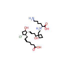 CCC1([C@@H](O)C/C=C/[C@@H]2[C@@H](C/C=C\CCCC(=O)O)[C@H](Cl)C[C@H]2O)CCC1.NCCCC[C@H](N)C(=O)O